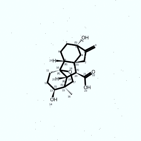 C=C1C[C@]23C[C@@]1(O)CC[C@H]2[C@@]12CC[C@H](O)[C@](C)(CO1)[C@H]2[C@@H]3C(=O)O